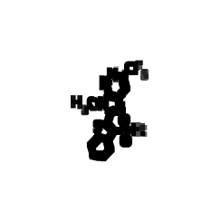 CCS(=O)(=O)c1c(-c2nc3cc(C(F)(F)F)nnc3n2C)sc2ccccc12